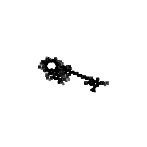 CCC1O[C@]2(C)C[C@@H]1C(=O)[C@H](C)[C@@H](O)[C@](C)(O)[C@@H](CC)OC(=O)[C@H](C)[C@@H](OCC[C@@](C)(OC)[C@@H](OC(=O)CCOCCOCCNc1cc3c(=O)c(C(=O)O)cn(C4CC4)c3cc1Cl)[C@H](C)O)[C@H](C)[C@H]2OC1O[C@H](C)C[C@H](N(C)C)[C@H]1O